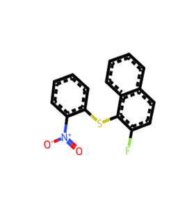 O=[N+]([O-])c1ccccc1Sc1c(F)ccc2ccccc12